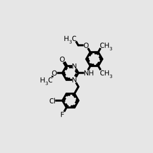 CCOc1cc(Nc2nc(=O)c(OC)cn2Cc2ccc(F)c(Cl)c2)c(C)cc1C